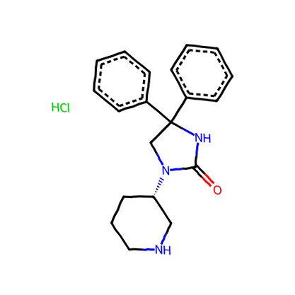 Cl.O=C1NC(c2ccccc2)(c2ccccc2)CN1[C@H]1CCCNC1